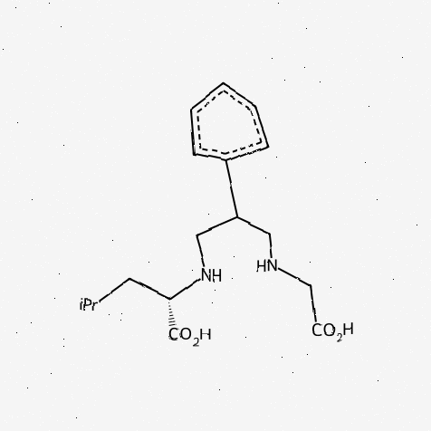 CC(C)C[C@H](NCC(CNCC(=O)O)c1ccccc1)C(=O)O